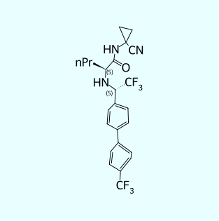 CCC[C@H](N[C@@H](c1ccc(-c2ccc(C(F)(F)F)cc2)cc1)C(F)(F)F)C(=O)NC1(C#N)CC1